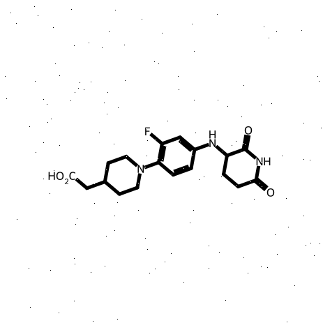 O=C(O)CC1CCN(c2ccc(NC3CCC(=O)NC3=O)cc2F)CC1